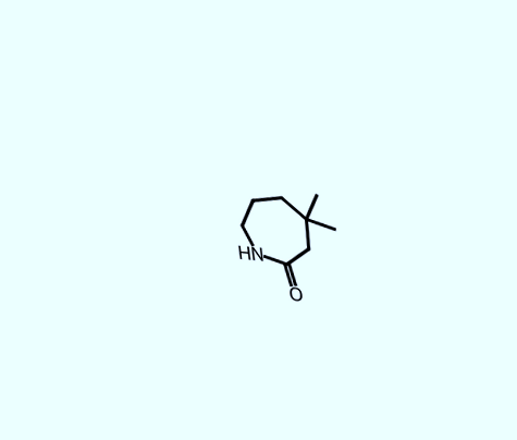 CC1(C)CCCNC(=O)C1